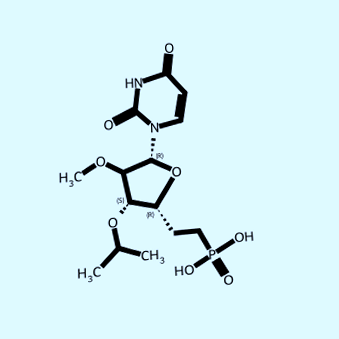 COC1[C@@H](OC(C)C)[C@@H](CCP(=O)(O)O)O[C@H]1n1ccc(=O)[nH]c1=O